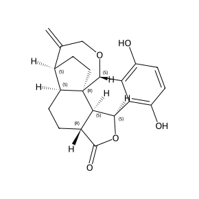 C=C1CO[C@@H]2c3c(O)ccc(O)c3[C@H]3OC(=O)[C@@H]4CC[C@H]5[C@@H]1CC[C@@]25[C@@H]34